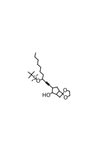 CCCCCCCC(C#CC1CC2C(CC23OCCO3)C1O)O[Si](C)(C)C(C)(C)C